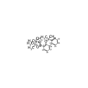 CC1(C)Oc2c(B3OC(C)(C)C(C)(C)O3)cccc2-c2ccccc21